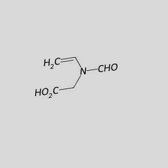 C=CN(C=O)CC(=O)O